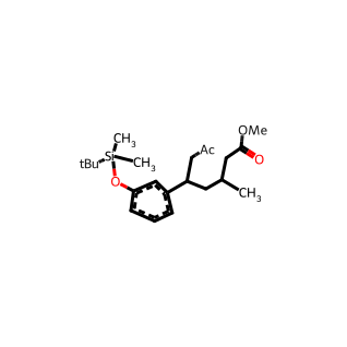 COC(=O)CC(C)CC(CC(C)=O)c1cccc(O[Si](C)(C)C(C)(C)C)c1